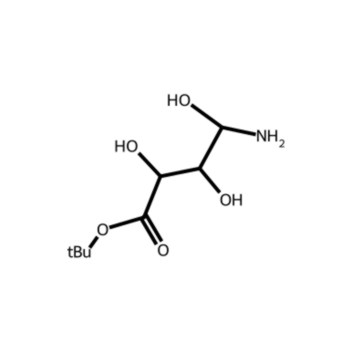 CC(C)(C)OC(=O)C(O)C(O)C(N)O